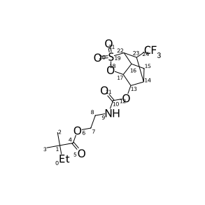 CCC(C)(C)C(=O)OCCNC(=O)OC1C2CC3C1OS(=O)(=O)C3C2C(F)(F)F